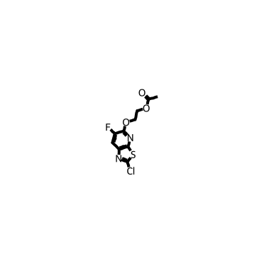 CC(=O)OCCOc1nc2sc(Cl)nc2cc1F